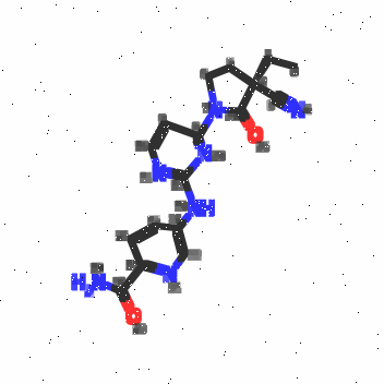 CC[C@]1(C#N)CCN(c2ccnc(Nc3ccc(C(N)=O)nc3)n2)C1=O